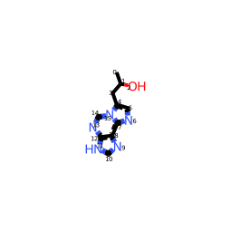 CC(O)Cc1cnc2c3nc[nH]c3ncn12